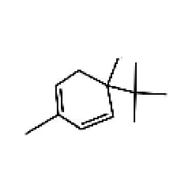 [CH2]C1(C(C)(C)C)C=CC(C)=CC1